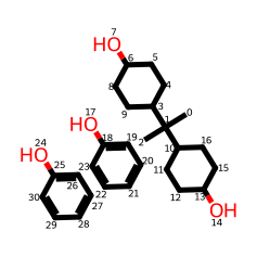 CC(C)(C1CCC(O)CC1)C1CCC(O)CC1.Oc1ccccc1.Oc1ccccc1